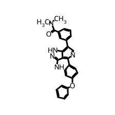 CN(C)C(=O)c1cccc(-c2cnc(-c3ccc(Oc4ccccc4)cc3)c3c(N)n[nH]c23)c1